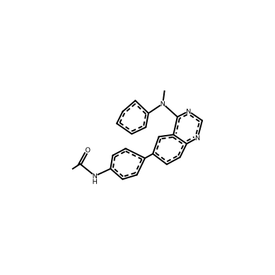 CC(=O)Nc1ccc(-c2ccc3ncnc(N(C)c4ccccc4)c3c2)cc1